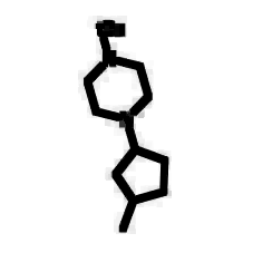 CC1CCC(N2CCN(C(C)(C)C)CC2)C1